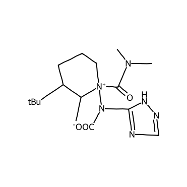 CC1C(C(C)(C)C)CCC[N+]1(C(=O)N(C)C)N(C(=O)[O-])c1ncn[nH]1